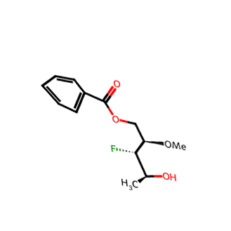 CO[C@H](COC(=O)c1ccccc1)[C@@H](F)[C@H](C)O